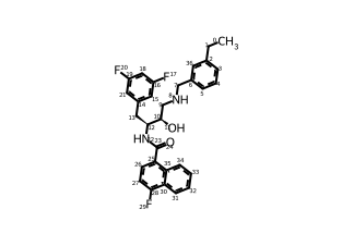 CCc1cccc(CNC[C@@H](O)[C@H](Cc2cc(F)cc(F)c2)NC(=O)c2ccc(F)c3ccccc23)c1